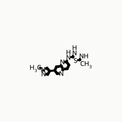 CC(=N)SC(=N)Nc1ccc2ncc(-c3cnn(C)c3)cc2n1